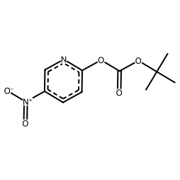 CC(C)(C)OC(=O)Oc1ccc([N+](=O)[O-])cn1